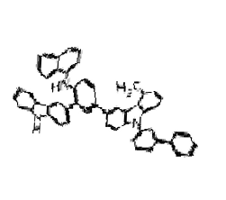 CC1C=CC=C2C1c1cc(-c3ccc(Nc4cccc5ccccc45)c(-c4ccc5[nH]c6ccccc6c5c4)c3)ccc1N2c1cccc(-c2ccccc2)c1